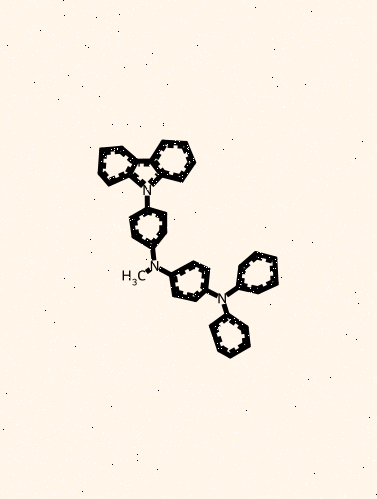 CN(c1ccc(N(c2ccccc2)c2ccccc2)cc1)c1ccc(-n2c3ccccc3c3ccccc32)cc1